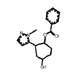 Cn1nccc1C1CC(O)CCC1OC(=O)c1ccccc1